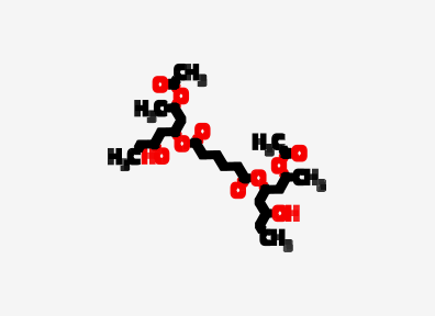 CCC(O)CC(CC(C)OC(C)=O)OC(=O)CCCCC(=O)OC(CC(O)CC)CC(C)OC(C)=O